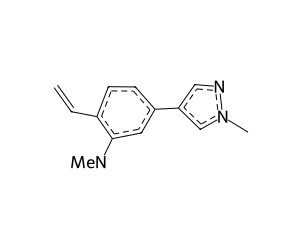 C=Cc1ccc(-c2cnn(C)c2)cc1NC